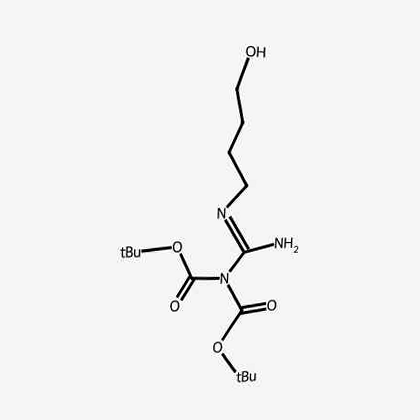 CC(C)(C)OC(=O)N(C(=O)OC(C)(C)C)C(N)=NCCCCO